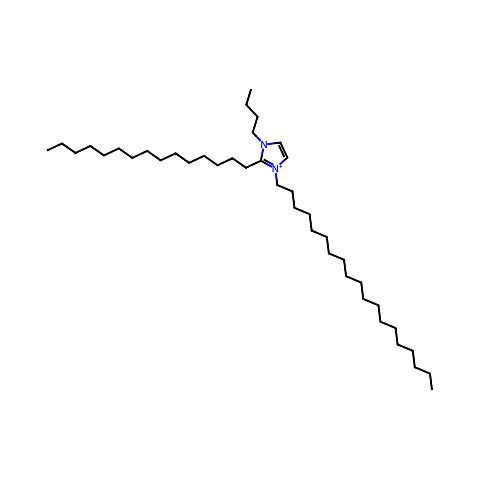 CCCCCCCCCCCCCCCCCCC[n+]1ccn(CCCC)c1CCCCCCCCCCCCCCC